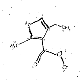 CCOC(=O)c1c(C)csc1C